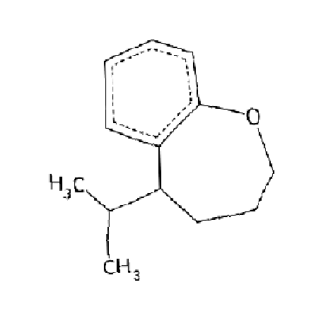 CC(C)C1CCCOc2ccccc21